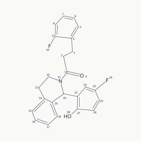 O=C(CCc1ccccc1F)N1CCc2ccccc2C1c1cc(F)ccc1O